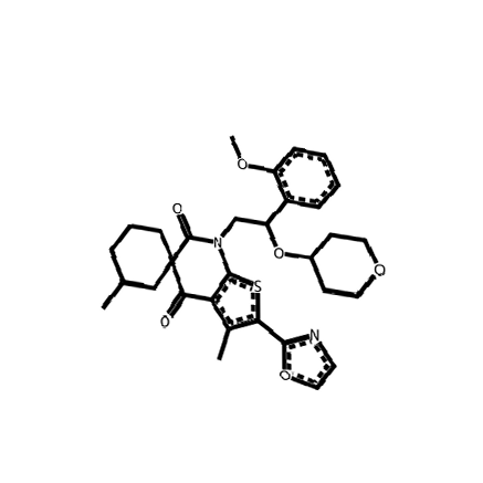 COc1ccccc1C(CN1C(=O)C2(CCCC(C)C2)C(=O)c2c1sc(-c1ncco1)c2C)OC1CCOCC1